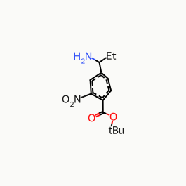 CCC(N)c1ccc(C(=O)OC(C)(C)C)c([N+](=O)[O-])c1